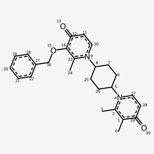 Cc1c(C)n(C2CCC(n3ccc(=O)c(OCc4ccccc4)c3C)CC2)ccc1=O